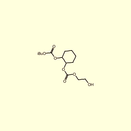 CC(C)COC(=O)OC1CCCCC1OC(=O)OCCO